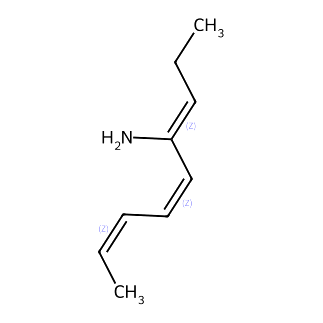 C\C=C/C=C\C(N)=C\CC